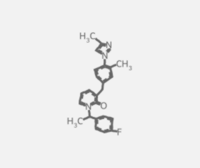 Cc1cn(-c2ccc(Cc3cccn(C(C)c4ccc(F)cc4)c3=O)cc2C)cn1